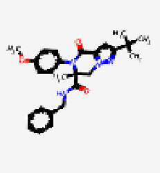 COc1ccc(N2C(=O)c3cc(C(C)(C)C)nn3CC2(C)C(=O)NCc2ccccc2)cc1